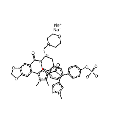 Cc1c(C(=O)N(c2ccc(OP(=O)([O-])[O-])cc2)c2cnn(C)c2)cc(-c2cc3c(cc2C(=O)N2Cc4ccccc4C[C@H]2CN2CCOCC2)OCO3)n1C.[Na+].[Na+]